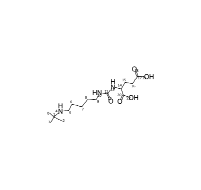 CC(C)(C)NCCCCCNC(=O)NC(CCC(=O)O)C(=O)O